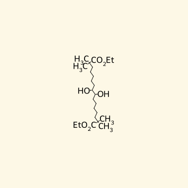 CCOC(=O)C(C)(C)CCCCC[C@H](O)[C@@H](O)CCCCCC(C)(C)C(=O)OCC